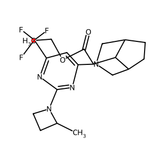 CCOC(=O)CC1C2CCC1CN(c1cc(C(F)(F)F)nc(N3CCC3C)n1)C2